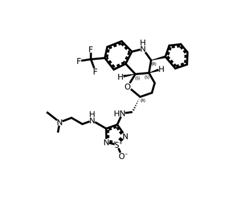 CN(C)CCNc1n[s+]([O-])nc1NC[C@H]1CC[C@@H]2[C@H](O1)c1cc(C(F)(F)F)ccc1N[C@H]2c1ccccc1